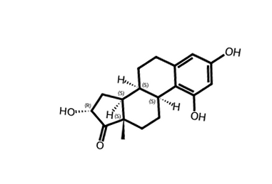 C[C@]12CC[C@@H]3c4c(O)cc(O)cc4CC[C@@H]3[C@@H]1C[C@@H](O)C2=O